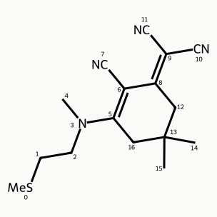 CSCCN(C)C1=C(C#N)C(=C(C#N)C#N)CC(C)(C)C1